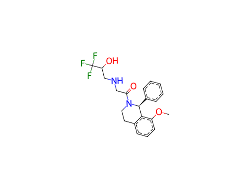 COc1cccc2c1[C@H](c1ccccc1)N(C(=O)CNCC(O)C(F)(F)F)CC2